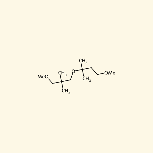 COCCC(C)(C)OCC(C)(C)COC